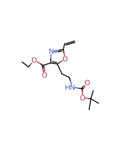 C=Cc1nc(C(=O)OCC)c(CCNC(=O)OC(C)(C)C)o1